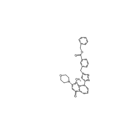 Cn1c(N2CCOCC2)cc(=O)c2cccc(-c3cn(Cc4cccc(C(=O)OCc5ccccc5)c4)nn3)c21